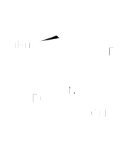 CCC(C[C@H](C)CC)N(C)CC